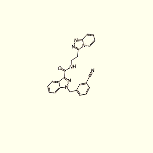 N#Cc1cccc(Cn2nc(C(=O)NCCc3nnc4ccccn34)c3ccccc32)c1